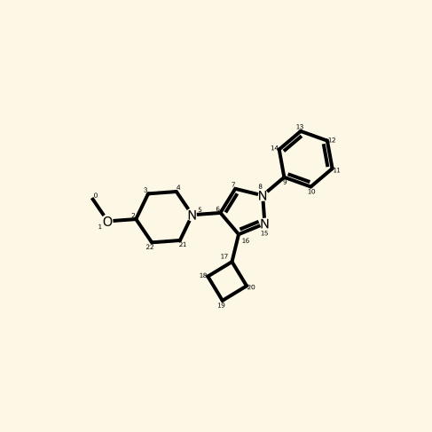 COC1CCN(c2cn(-c3ccccc3)nc2C2CCC2)CC1